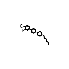 CCCCCC[C@H]1CC[C@H](C2C=CC(c3ccc(Cl)c(F)c3)=CC2)CC1